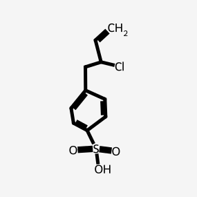 C=CC(Cl)Cc1ccc(S(=O)(=O)O)cc1